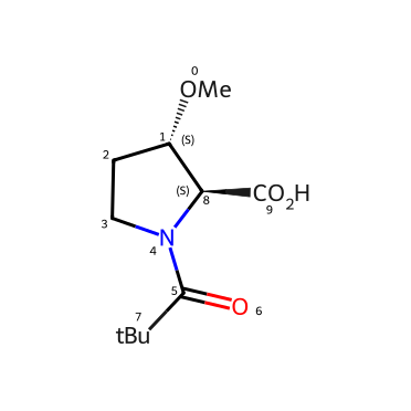 CO[C@H]1CCN(C(=O)C(C)(C)C)[C@@H]1C(=O)O